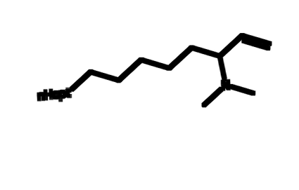 C=CC(CCCCCCCCCCCC)N(C)C